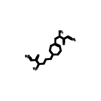 C=CC(=O)C(C)CCCC1CCC=C(CN(C)C(=O)C=C)CC1